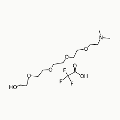 CN(C)CCOCCOCCOCCOCCO.O=C(O)C(F)(F)F